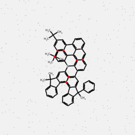 CC(C)(C)c1cc(-c2cccc3cccc(-c4ccccc4N(c4ccc5c(c4)C(C)(C)c4ccccc4-5)c4ccccc4-c4ccc5c(c4)C(C)(c4ccccc4)c4ccccc4-5)c23)cc(C(C)(C)C)c1